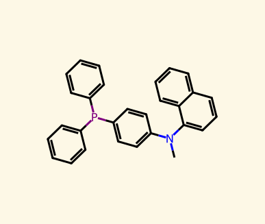 CN(c1ccc(P(c2ccccc2)c2ccccc2)cc1)c1cccc2ccccc12